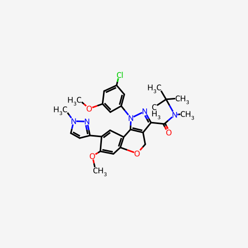 COc1cc(Cl)cc(-n2nc(C(=O)N(C)C(C)(C)C)c3c2-c2cc(-c4ccn(C)n4)c(OC)cc2OC3)c1